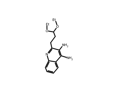 CCOC(CCc1nc2ccccc2c(N)c1N)OCC